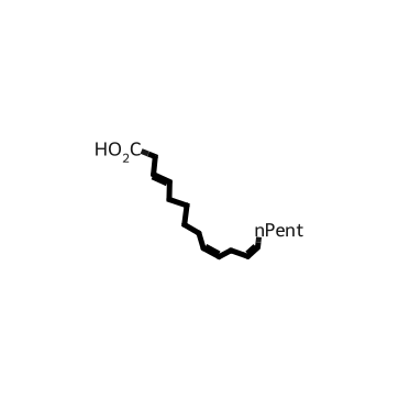 CCCCC/C=C\C/C=C\CCCC/C=C/CC(=O)O